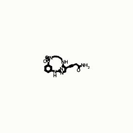 NC(=O)CC#Cc1cnc2nc1NCCCNS(=O)(=O)c1cccc(c1)N2